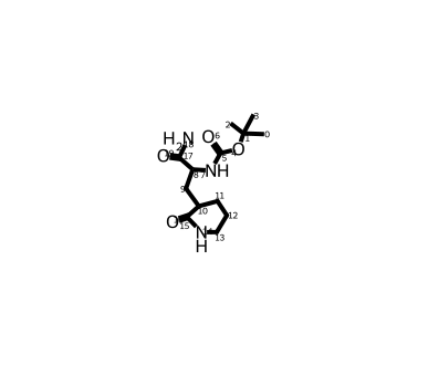 CC(C)(C)OC(=O)NC(CC1CCCNC1=O)C(N)=O